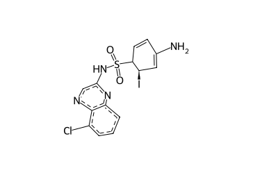 NC1=C[C@@H](I)C(S(=O)(=O)Nc2cnc3c(Cl)cccc3n2)C=C1